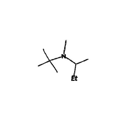 CCC(C)N(C)C(C)(C)C